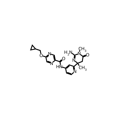 CN1C(=O)CC(C)(c2cc(NC(=O)c3cnc(OCC4CC4)cn3)ccn2)N=C1N